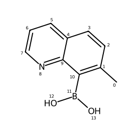 Cc1ccc2cccnc2c1B(O)O